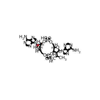 CC(C)C1[C@H](n2cnc3c(N)ncnc32)O[C@@H]2COP(=O)(O)O[C@@H]3[C@H](O)[C@@H](COP(=O)(O)O[C@@H]12)O[C@H]3n1cnc2c(N)ncnc21